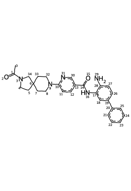 CC(=O)N1CCC2(CCN(c3ccc(C(=O)Nc4cc(-c5ccccc5)ccc4N)cn3)CC2)C1